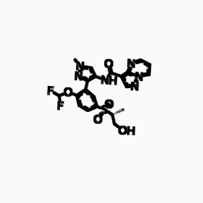 C[C@H](CO)S(=O)(=O)c1ccc(OC(F)F)c(-c2nn(C)cc2NC(=O)c2cnn3cccnc23)c1